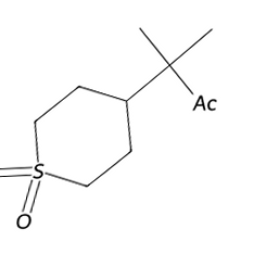 CC(=O)C(C)(C)C1CCS(=O)(=O)CC1